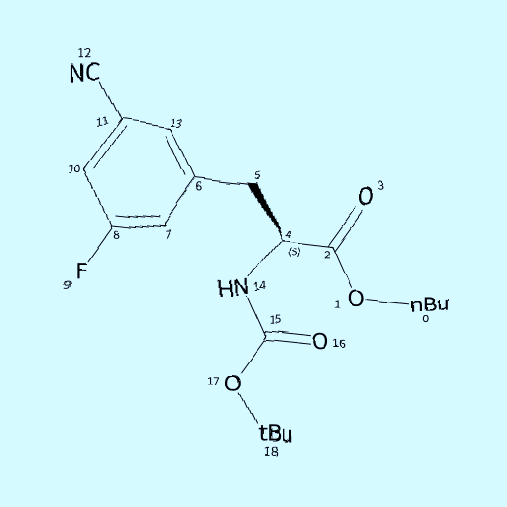 CCCCOC(=O)[C@H](Cc1cc(F)cc(C#N)c1)NC(=O)OC(C)(C)C